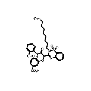 CCCCCCCCCCCCCCCCCCN1C(C(Oc2cccc(C(=O)O)c2)C(=O)Nc2ccccc2C=O)=Nc2ccccc2S1(=O)=O